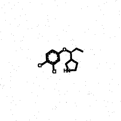 CC[C@H](Oc1ccc(Cl)c(Cl)c1)C1CCNC1